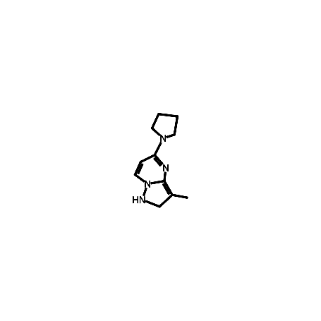 CC1=C2N=C(N3CCCC3)C=CN2NC1